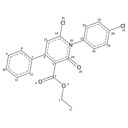 CCOC(=O)c1c(-c2ccccc2)cc(Cl)n(-c2ccc(Cl)cc2)c1=O